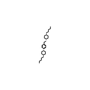 CCCCC[C@H]1CC[C@H](CCc2ccc([C@H]3CC[C@H](CCCCC)CC3)cc2)CC1